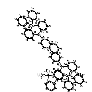 CC1(C)c2ccccc2-c2cc3c(cc21)N(c1ccc2c(ccc4cc(N5c6ccccc6[Si](c6ccccc6)(c6ccccc6)c6ccccc65)ccc42)c1)c1ccccc1[Si]3(c1ccccc1)c1ccccc1